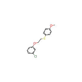 COc1ccc(SCCOc2cccc(Cl)c2)cc1